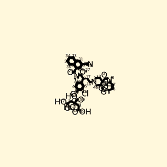 CNC(=O)C1(N2CCCCS2(=O)=O)CCN(CC[C@H](CN(C)C(=O)c2c(OC)c(C#N)cc3ccccc23)c2ccc(Cl)c(Cl)c2)CC1.O=C(O)CC(O)(CC(=O)O)C(=O)O